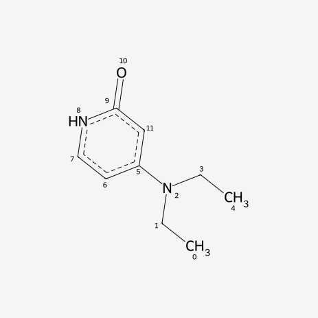 CCN(CC)c1cc[nH]c(=O)c1